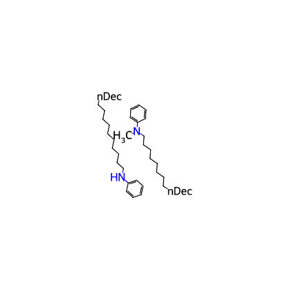 CCCCCCCCCCCCCCCCCCCCNc1ccccc1.CCCCCCCCCCCCCCCCCCN(C)c1ccccc1